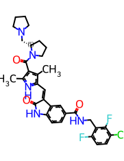 Cc1[nH]c(C=C2C(=O)Nc3ccc(C(=O)NCc4c(F)ccc(Cl)c4F)cc32)c(C)c1C(=O)N1CCC[C@H]1CN1CCCC1